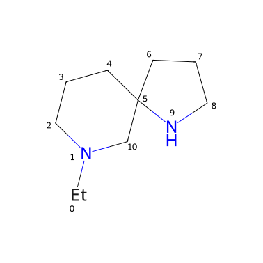 CCN1CCCC2(CCCN2)C1